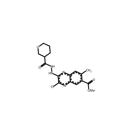 COC(=O)c1cc2nc(Cl)c(NNC(=O)C3CCCOC3)nc2cc1C